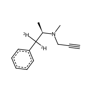 [2H]C([2H])(c1ccccc1)[C@@H](C)N(C)CC#C